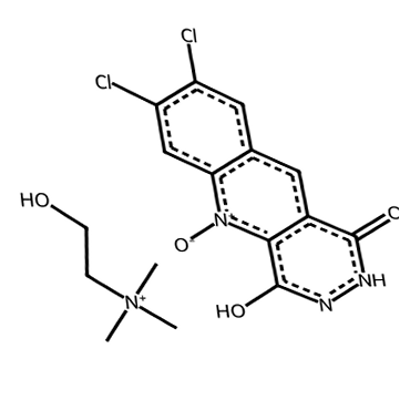 C[N+](C)(C)CCO.O=c1[nH]nc(O)c2c1cc1cc(Cl)c(Cl)cc1[n+]2[O-]